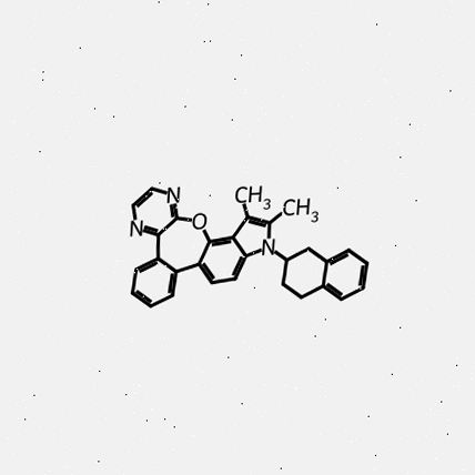 Cc1c(C)n(C2CCc3ccccc3C2)c2ccc3c(c12)Oc1nccnc1-c1ccccc1-3